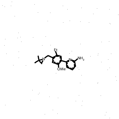 CCc1cc(-c2cccc(N)n2)c(OC)cc1CN1CC1(C)C